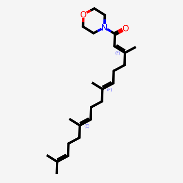 CC(C)=CCC/C(C)=C/CC/C(C)=C/CC/C(C)=C/C(=O)N1CCOCC1